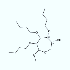 CCCCOC1C(OC)OC[C@@H](O)[C@@H](OCCCC)C1OCCCC